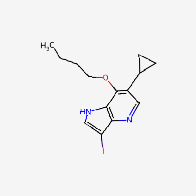 CCCCOc1c(C2CC2)cnc2c(I)c[nH]c12